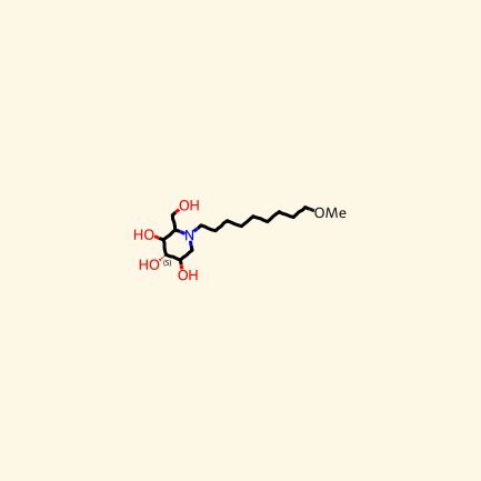 COCCCCCCCCCN1CC(O)[C@H](O)C(O)C1CO